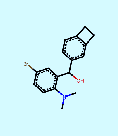 CN(C)c1ccc(Br)cc1C(O)c1ccc2c(c1)CC2